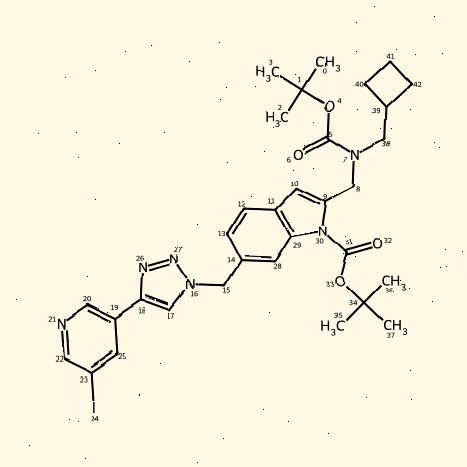 CC(C)(C)OC(=O)N(Cc1cc2ccc(Cn3cc(-c4cncc(I)c4)nn3)cc2n1C(=O)OC(C)(C)C)CC1CCC1